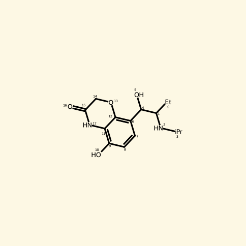 CCC(NC(C)C)C(O)c1ccc(O)c2c1OCC(=O)N2